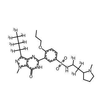 [2H]C(NS(=O)(=O)c1ccc(OCCC)c(-c2nc3c(C([2H])([2H])C([2H])([2H])C([2H])([2H])[2H])nn(C)c3c(=O)[nH]2)c1)C([2H])([2H])C1CCCN1C